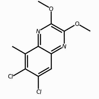 COc1nc2cc(Cl)c(Cl)c(C)c2nc1OC